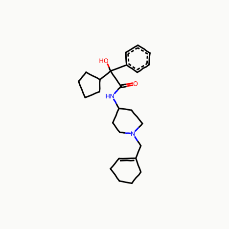 O=C(NC1CCN(CC2=CCCCC2)CC1)C(O)(c1ccccc1)C1CCCC1